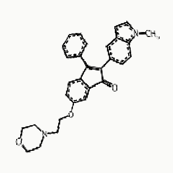 Cn1ccc2cc(C3=C(c4ccccc4)c4ccc(OCCN5CCOCC5)cc4C3=O)ccc21